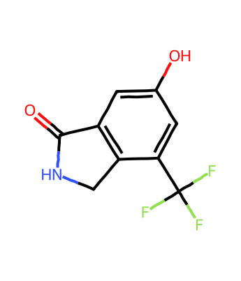 O=C1NCc2c1cc(O)cc2C(F)(F)F